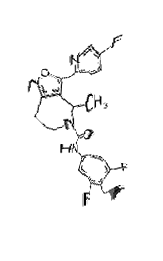 CC1c2c(noc2-c2ccc(F)cn2)CCN1C(=O)Nc1cc(F)c(F)c(F)c1